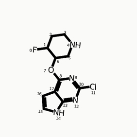 FC1CCNCC1Oc1nc(Cl)nc2[nH]ccc12